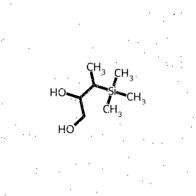 CC(C(O)CO)[Si](C)(C)C